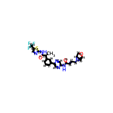 C[C@H](C(=O)Nc1ncc(C(F)(F)F)s1)c1cccc(-c2cnc(NC(=O)/C=C/CN3CC4CC3CO4)cn2)c1